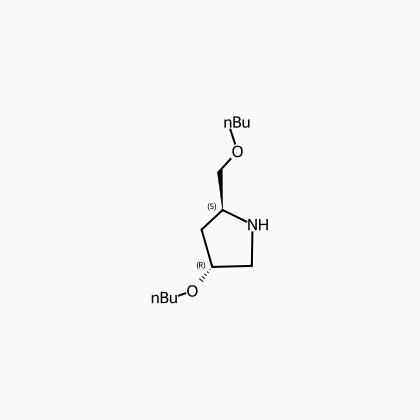 CCCCOC[C@@H]1C[C@@H](OCCCC)CN1